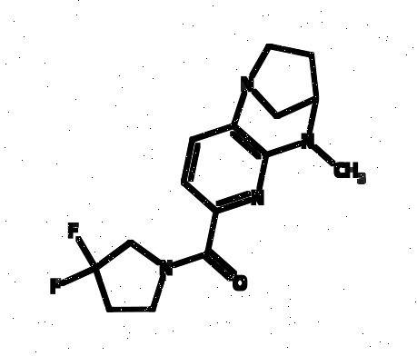 CN1c2nc(C(=O)N3CCC(F)(F)C3)ccc2N2CCC1C2